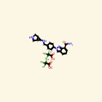 NC(=O)c1cccc2cn(-c3ccc(CNC4C5CNCC54)cc3)nc12.O=C(O)C(F)(F)F.O=C(O)C(F)(F)F